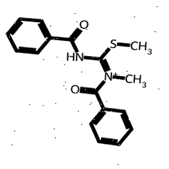 CSC(NC(=O)c1ccccc1)=[N+](C)C(=O)c1ccccc1